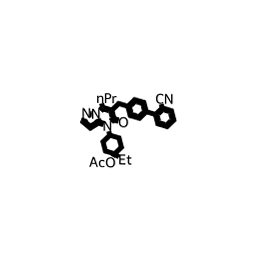 CCCc1c(Cc2ccc(-c3ccccc3C#N)cc2)c(=O)n(C2CCC(CC)(OC(C)=O)CC2)c2ccnn12